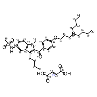 CCCCc1c(C(=O)c2ccc(OCCCN(CCCC)CCCC)cc2)n(C)c2ccc(NS(C)(=O)=O)cc12.O=C(O)/C=C/C(=O)O